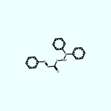 O=C(N=Nc1ccccc1)ONN(c1ccccc1)c1ccccc1